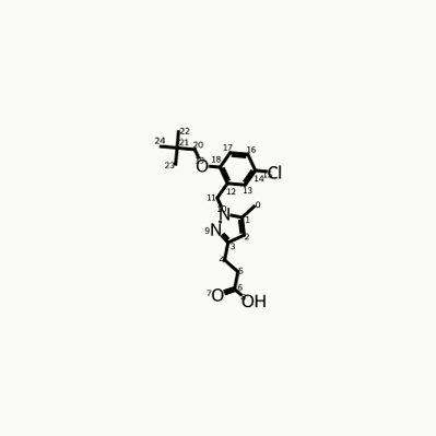 Cc1cc(CCC(=O)O)nn1Cc1cc(Cl)ccc1OCC(C)(C)C